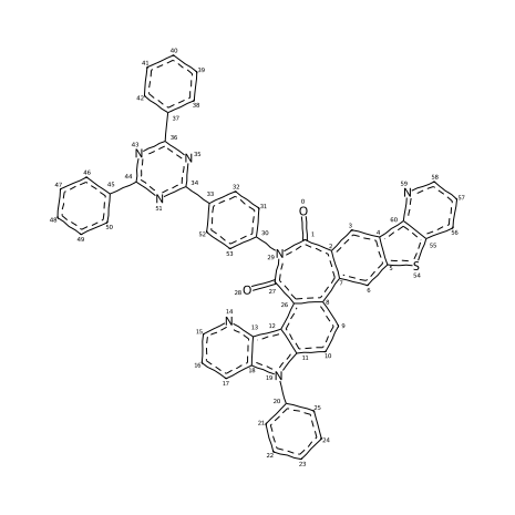 O=c1c2cc3c(cc2c2ccc4c(c5ncccc5n4-c4ccccc4)c2c(=O)n1-c1ccc(-c2nc(-c4ccccc4)nc(-c4ccccc4)n2)cc1)sc1cccnc13